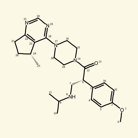 COc1ccc([C@H](CNC(C)C)C(=O)N2CCN(c3ncnc4c3[C@H](C)CC4)CC2)cc1